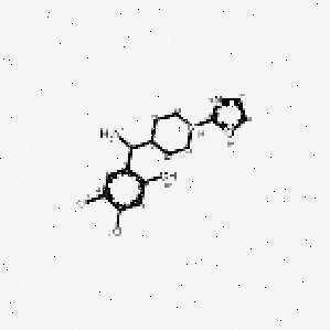 NC(c1cc(Cl)c(Cl)cc1O)C1CCN(c2ncco2)CC1